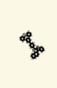 O=P(c1ccccc1)(c1ccccc1)c1ccc(-c2ccc(-c3nc4c5ccccc5ccc4c4c3oc3ccccc34)cc2)cc1